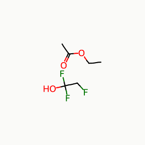 CCOC(C)=O.OC(F)(F)CF